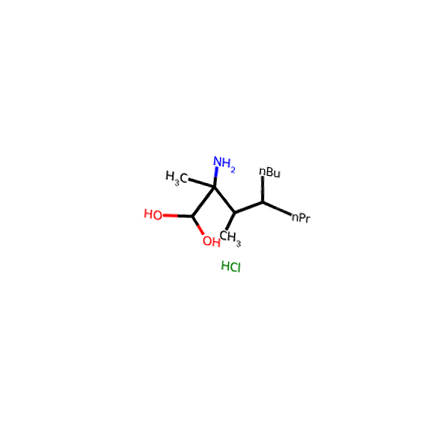 CCCCC(CCC)C(C)C(C)(N)C(O)O.Cl